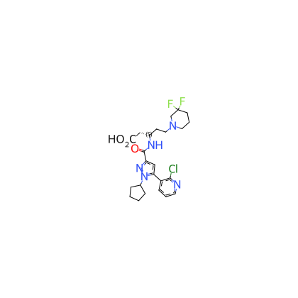 O=C(O)C[C@H](CCN1CCCC(F)(F)C1)NC(=O)c1cc(-c2cccnc2Cl)n(C2CCCC2)n1